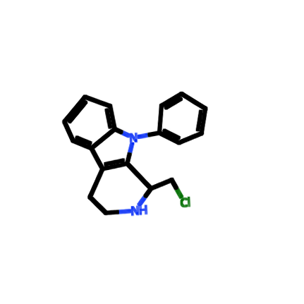 ClCC1NCCc2c1n(-c1ccccc1)c1ccccc21